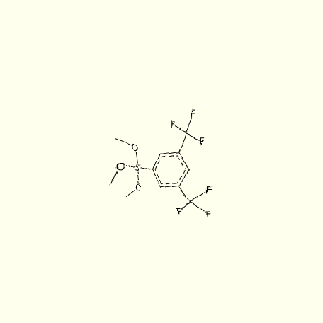 CO[Si](OC)(OC)c1cc(C(F)(F)F)cc(C(F)(F)F)c1